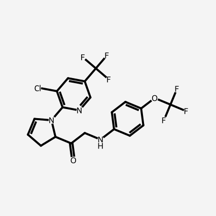 O=C(CNc1ccc(OC(F)(F)F)cc1)C1CC=CN1c1ncc(C(F)(F)F)cc1Cl